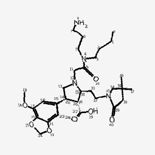 CCCCN(CCCN)C(=O)CN1C[C@H](c2cc(OC)c3c(c2)OCO3)[C@@H](C(=O)O)[C@@H]1CCN1CC(C)(C)CC1=O